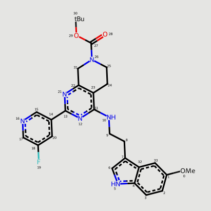 COc1ccc2[nH]cc(CCNc3nc(-c4cncc(F)c4)nc4c3CCN(C(=O)OC(C)(C)C)C4)c2c1